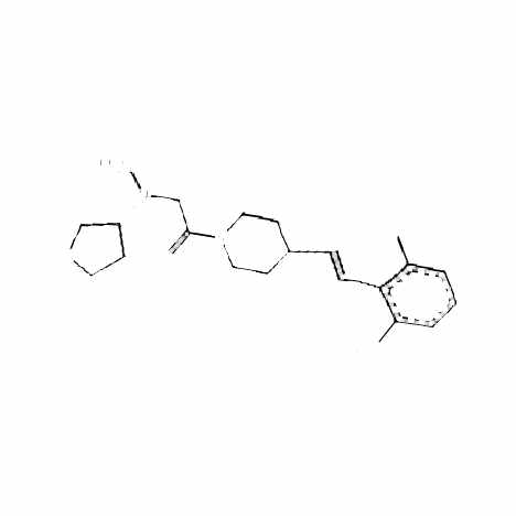 Cc1cccc(C)c1C=CC1CCN(C(=O)CN(C)[C@@H]2CCOC2)CC1